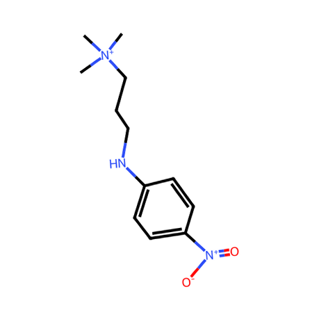 C[N+](C)(C)CCCNc1ccc([N+](=O)[O-])cc1